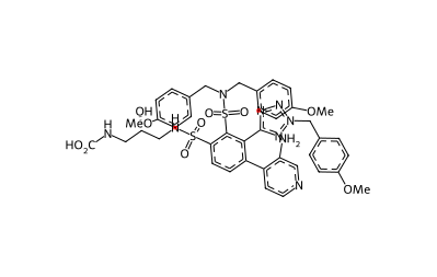 COc1ccc(CN(Cc2ccc(OC)cc2)S(=O)(=O)c2c(S(=O)(=O)NC[C@@H](O)CNC(=O)O)ccc(-c3ccncc3N)c2-c2nnn(Cc3ccc(OC)cc3)n2)cc1